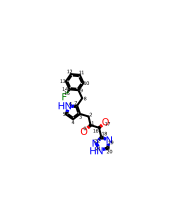 O=C(Cc1cc[nH]c1Cc1ccccc1F)C(=O)c1nc[nH]n1